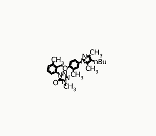 CCCCc1c(C)nn(-c2ccc(OCc3c(C)cccc3-n3nnn(C)c3=O)c(C)c2)c1C